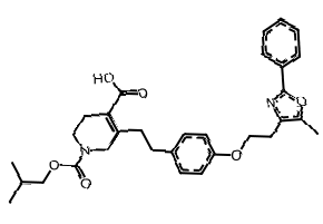 Cc1oc(-c2ccccc2)nc1CCOc1ccc(CCC2=C(C(=O)O)CCN(C(=O)OCC(C)C)C2)cc1